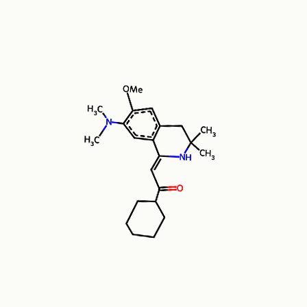 COc1cc2c(cc1N(C)C)C(=CC(=O)C1CCCCC1)NC(C)(C)C2